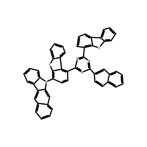 c1ccc2cc(-c3nc(-c4cccc5c4oc4ccccc45)nc(-c4ccc(-n5c6ccccc6c6cc7ccccc7cc65)c5sc6ccccc6c45)n3)ccc2c1